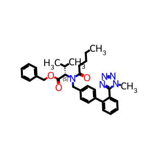 CCCCC(=O)N(Cc1ccc(-c2ccccc2-c2nnnn2C)cc1)[C@H](C(=O)OCc1ccccc1)C(C)C